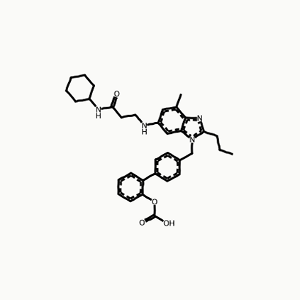 CCCc1nc2c(C)cc(NCCC(=O)NC3CCCCC3)cc2n1Cc1ccc(-c2ccccc2OC(=O)O)cc1